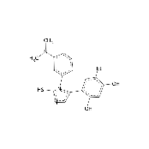 CCc1cc(-c2cnc(S)n2-c2cccc(N(C)C)c2)c(O)cc1O